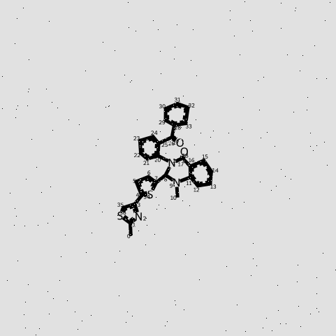 Cc1nc(-c2ccc(C3N(C)c4ccccc4C(=O)N3c3ccccc3C(=O)c3ccccc3)s2)cs1